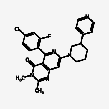 Cc1nc2cc(N3CCC[C@H](c4ccncc4)C3)nc(-c3ccc(Cl)cc3F)c2c(=O)n1C